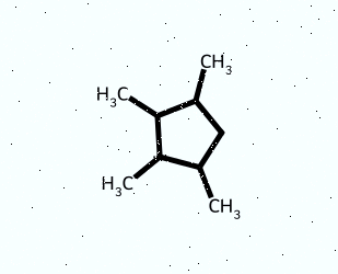 C[C]1C(C)CC(C)C1C